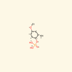 CCOc1ccc(OP(=O)(O)O)cc1.[KH]